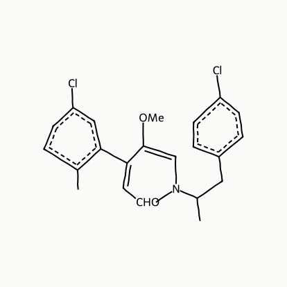 COC(=C/N(C)C(C)Cc1ccc(Cl)cc1)/C(=C\C=O)c1cc(Cl)ccc1C